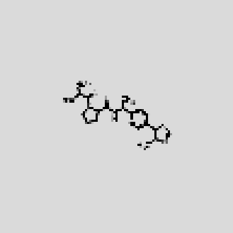 CNC(C(=O)N1CCCC1C(=O)NC(C)c1ccc(C2SC=NC2C)cc1)C(C)(C)C